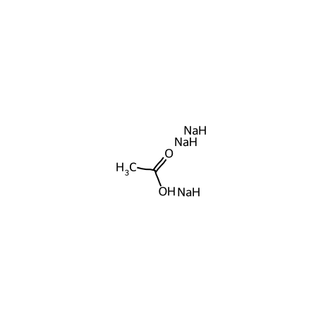 CC(=O)O.[NaH].[NaH].[NaH]